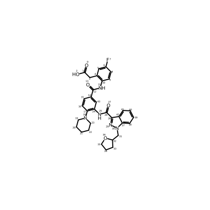 O=C(O)Cc1cc(F)ccc1NC(=O)c1ccc(N2CCCCC2)c(NC(=O)c2nn(CC3CCCO3)c3ccccc23)c1